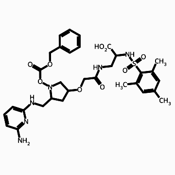 Cc1cc(C)c(S(=O)(=O)NC(CNC(=O)COC2CC(CNc3cccc(N)n3)N(OC(=O)OCc3ccccc3)C2)C(=O)O)c(C)c1